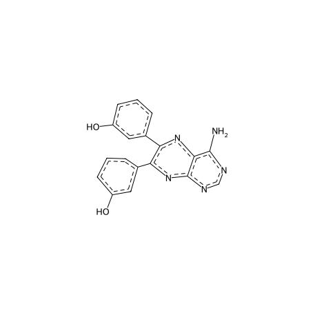 Nc1ncnc2nc(-c3cccc(O)c3)c(-c3cccc(O)c3)nc12